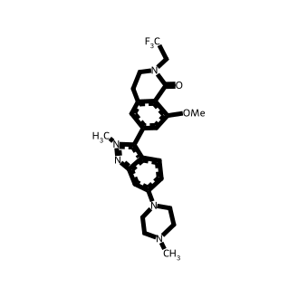 COc1cc(-c2c3ccc(N4CCN(C)CC4)cc3nn2C)cc2c1C(=O)N(CC(F)(F)F)CC2